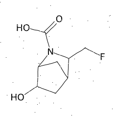 O=C(O)N1C2CC(CC2O)C1CF